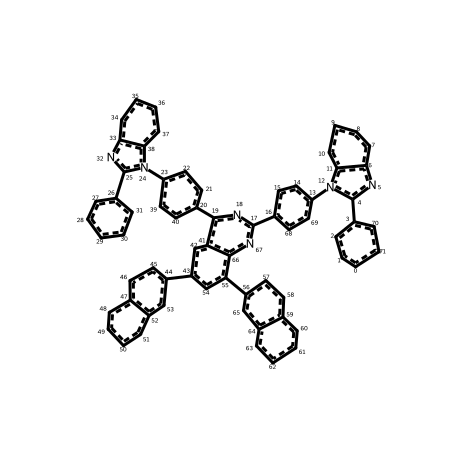 c1ccc(-c2nc3ccccc3n2-c2ccc(-c3nc(-c4ccc(-n5c(-c6ccccc6)nc6ccccc65)cc4)c4cc(-c5ccc6ccccc6c5)cc(-c5ccc6ccccc6c5)c4n3)cc2)cc1